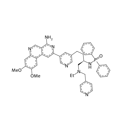 CCN(Cc1ccncc1)C[C@@H](CCc1cncc(-c2cc3c(cnc4cc(OC)c(OC)cc43)c(N)n2)c1)NP(=O)(c1ccccc1)c1ccccc1